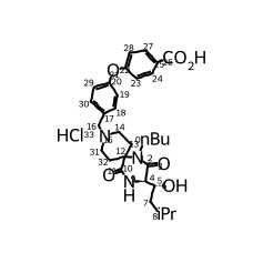 CCCCN1C(=O)[C@@H]([C@H](O)CC(C)C)NC(=O)C12CCN(Cc1ccc(Oc3ccc(C(=O)O)cc3)cc1)CC2.Cl